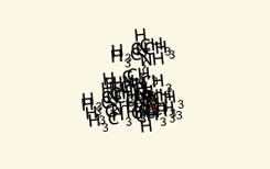 CCC(C)N(CCCCCCN(c1nc(NC(C)(C)CC(C)(C)C)nc(C(C)(CC)N(CCCCCCNC2CC(C)(C)NC(C)(C)C2)C2CC(C)(C)NC(C)(C)C2)n1)C1CC(C)(C)NC(C)(C)C1)C1CC(C)(C)NC(C)(C)C1